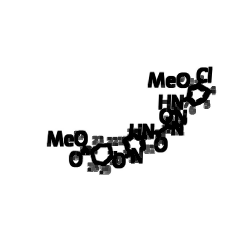 COc1c(Cl)cccc1Nc1nnc(C(=O)Nc2ccc(O[C@H]3CC[C@H](C(=O)OC)CC3)nc2)o1